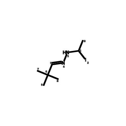 CC(I)N/N=C/C(C)(C)C